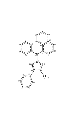 Cc1sc(N(c2ccccc2)c2cccc3ccccc23)nc1-c1ccccc1